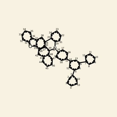 c1ccc(-c2cc(-c3ccccc3)cc(-c3ccc(N(c4ccccc4-c4ccc5oc6ccccc6c5c4)c4cccc5ccccc45)cc3)c2)cc1